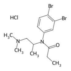 CCC(=O)N(c1ccc(Br)c(Br)c1)C(C)CN(C)C.Cl